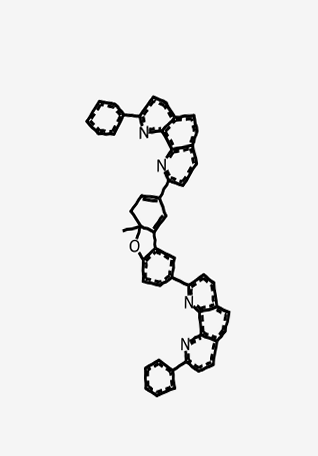 CC12CC=C(c3ccc4ccc5ccc(-c6ccccc6)nc5c4n3)C=C1c1cc(-c3ccc4ccc5ccc(-c6ccccc6)nc5c4n3)ccc1O2